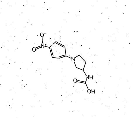 O=C(O)NC1CCN(c2ccc([N+](=O)[O-])cc2)C1